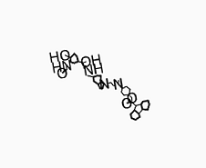 CN(CCn1ccc2cc(CNC[C@H](O)c3ccc(O)c(NC=O)c3)ccc21)[C@H]1CC[C@H](OC(=O)C2c3ccccc3-c3ccccc32)CC1